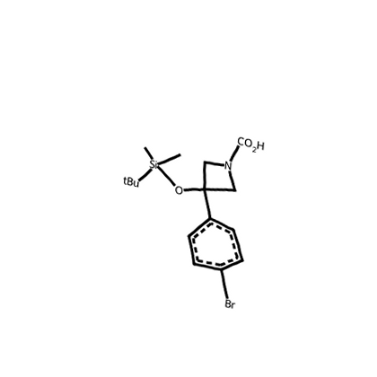 CC(C)(C)[Si](C)(C)OC1(c2ccc(Br)cc2)CN(C(=O)O)C1